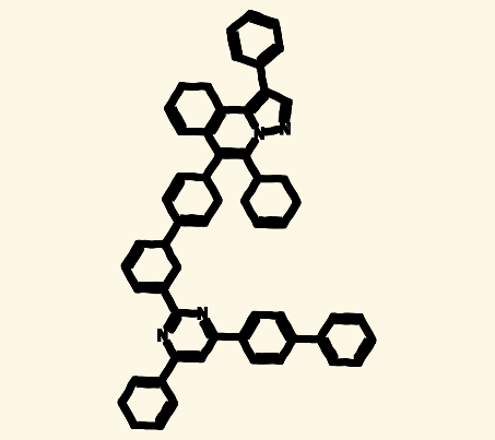 C1=CC(C2=CCC(c3c4c(c5c(-c6ccccc6)cnn5c3C3CC=CCC3)CCC=C4)C=C2)CC(c2nc(C3=CCCC=C3)cc(-c3ccc(-c4ccccc4)cc3)n2)=C1